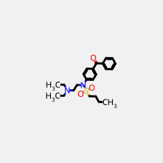 CCCCS(=O)(=O)N(CCN(CC)CC)c1ccc(C(=O)c2ccccc2)cc1